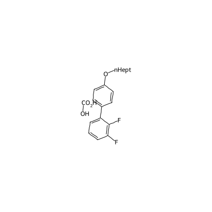 CCCCCCCOc1ccc(-c2cccc(F)c2F)cc1.O=C(O)O